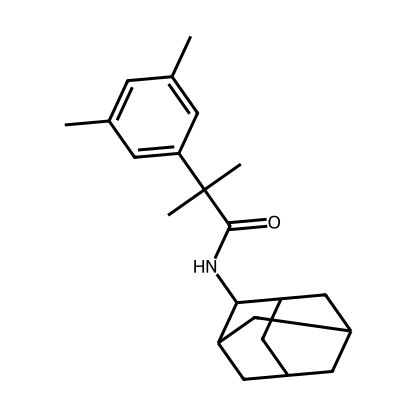 Cc1cc(C)cc(C(C)(C)C(=O)NC2C3CC4CC(C3)CC2C4)c1